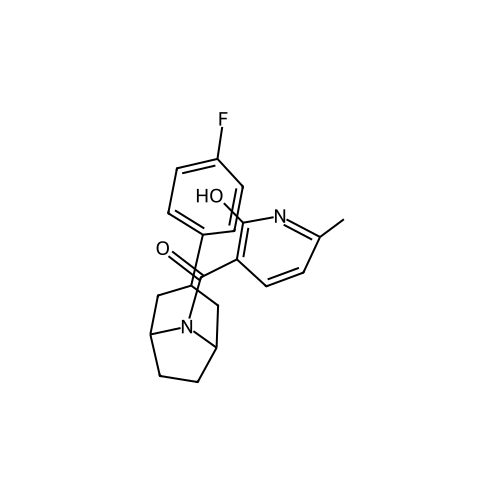 Cc1ccc(C(=O)N2C3CCC2CC(c2ccc(F)cc2)C3)c(O)n1